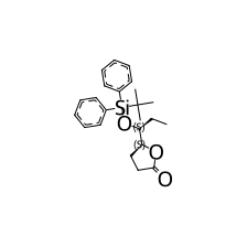 CC[C@H](O[Si](c1ccccc1)(c1ccccc1)C(C)(C)C)[C@@H]1CCC(=O)O1